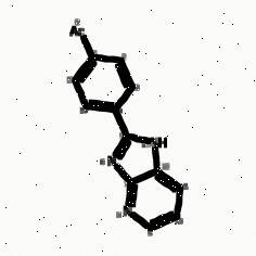 CC(=O)c1ccc(-c2nc3ncccc3[nH]2)cc1